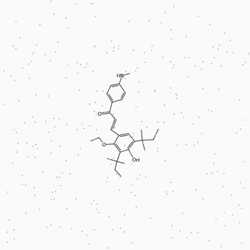 CCOc1c(C=CC(=O)c2ccc(NC)cc2)cc(C(C)(C)CC)c(O)c1C(C)(C)CC